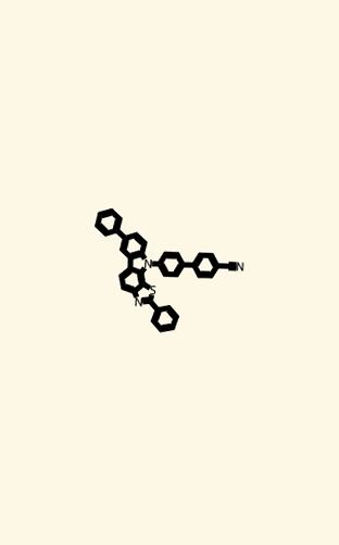 N#Cc1ccc(-c2ccc(-n3c4ccc(-c5ccccc5)cc4c4ccc5nc(-c6ccccc6)sc5c43)cc2)cc1